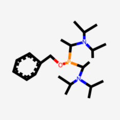 CC(C)N(C(C)C)C(C)P(OCc1ccccc1)C(C)N(C(C)C)C(C)C